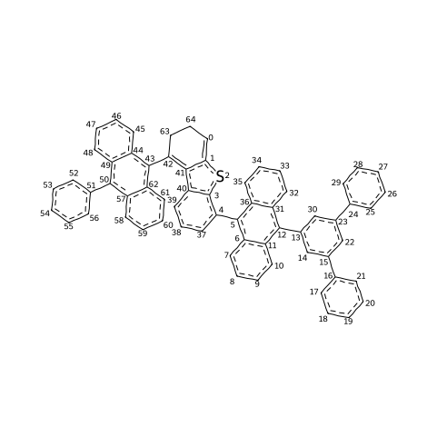 C1=c2sc3c(-c4c5ccccc5c(-c5cc(-c6ccccc6)cc(-c6ccccc6)c5)c5ccccc45)cccc3c2=C(c2c3ccccc3c(-c3ccccc3)c3ccccc23)CC1